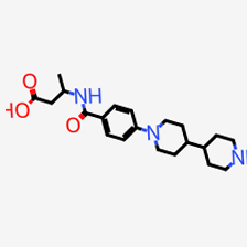 CC(CC(=O)O)NC(=O)c1ccc(N2CCC(C3CCNCC3)CC2)cc1